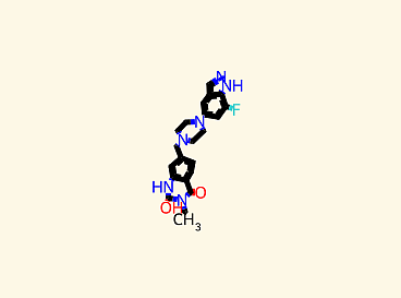 CCN1C(=O)c2ccc(CN3CCN(c4cc(F)c5[nH]ncc5c4)CC3)cc2NC1O